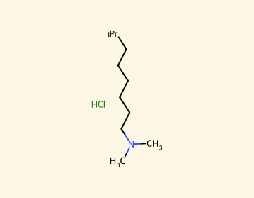 CC(C)CCCCCCN(C)C.Cl